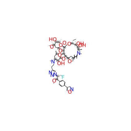 CC[C@H]1OC(=O)[C@H](C)[C@@H](O[C@H]2C[C@@](C)(OC)[C@@H](O)[C@H](C)O2)[C@H](C)[C@@H](O[C@@H]2O[C@H](C)C[C@H](N(C)CCc3cn([C@H](CF)[C@H](OC)c4ccc(-c5cnoc5)cc4)nn3)[C@H]2O)[C@@]2(C)C[C@@H](CO2)CN(C)[C@H](C)[C@@H](O)[C@]1(C)O